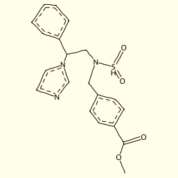 COC(=O)c1ccc(CN(CC(c2ccccc2)n2ccnc2)[SH](=O)=O)cc1